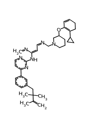 C=N/C(=C\C=N/CN1CCCC(OC2=C(C3CC3)CCC=C2)C1)Nc1nccc(-c2cccc(CC(C)(C)C(=C)C)c2)n1